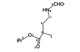 CC(C)OC(=O)C(C)CCN[C]=O